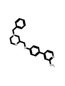 Cc1cc(-c2ccc(OCC3CN(Cc4ccccc4)CCO3)cc2)ccn1